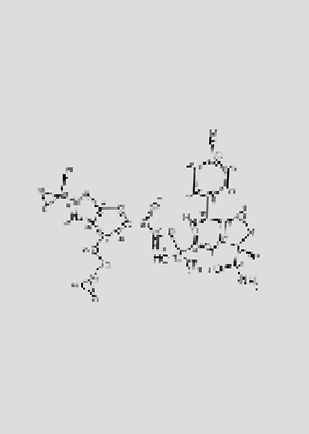 C[C@]1(C(N)=O)COc2c1cc([C@@](O)(CNC(=O)c1cc(OCC3CC3)c3nn(C4(F)CC4)cc3c1)C(F)(F)F)nc2-c1ccc(F)cc1